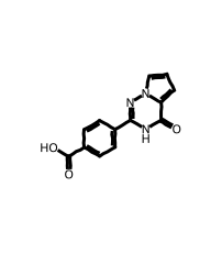 O=C(O)c1ccc(-c2nn3cccc3c(=O)[nH]2)cc1